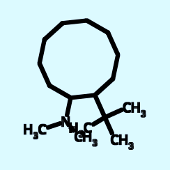 CN(C)C1CCCCCCCCC1C(C)(C)C